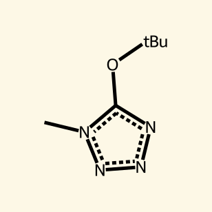 Cn1nnnc1OC(C)(C)C